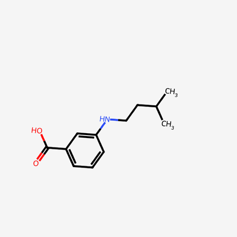 CC(C)CCNc1cccc(C(=O)O)c1